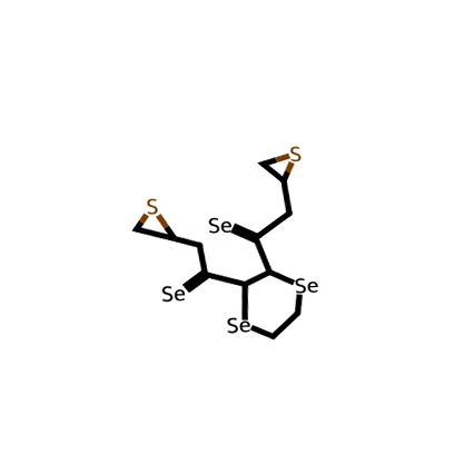 [Se]=C(CC1CS1)C1[Se]CC[Se]C1C(=[Se])CC1CS1